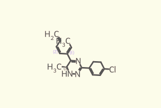 C=C/C=C\C(=C/C)C1=NC(C2=CC=C(Cl)CC2)=NN[C@H]1C